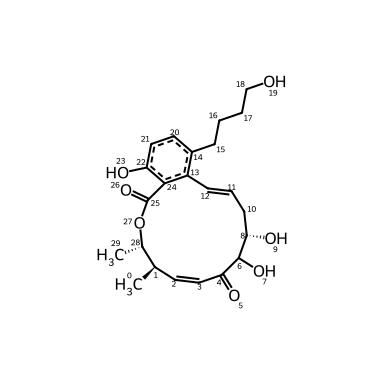 C[C@@H]1/C=C\C(=O)C(O)[C@@H](O)C/C=C/c2c(CCCCO)ccc(O)c2C(=O)O[C@H]1C